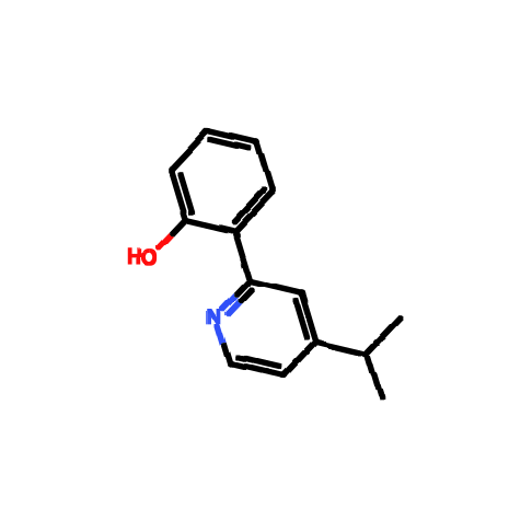 CC(C)c1ccnc(-c2ccccc2O)c1